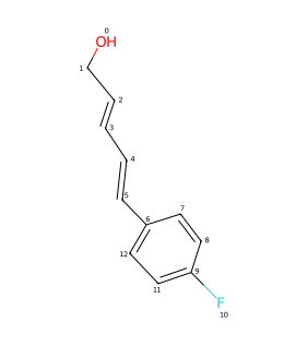 OC/C=C/C=C/c1ccc(F)cc1